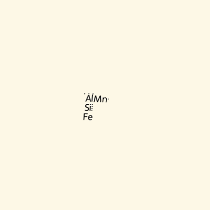 [Al].[Fe].[Mn].[Si]